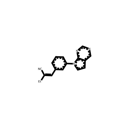 CC/C(C#N)=C/c1cccc(-n2ccc3cncnc32)c1